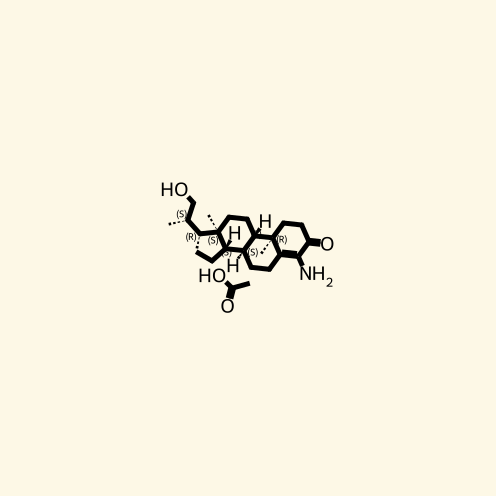 CC(=O)O.C[C@H](CO)[C@H]1CC[C@H]2[C@@H]3CCC4=C(N)C(=O)CC[C@]4(C)[C@H]3CC[C@]12C